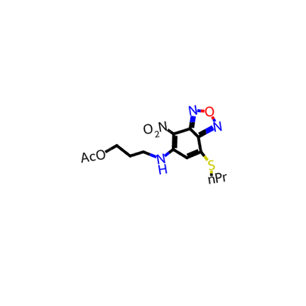 CCCSc1cc(NCCCOC(C)=O)c([N+](=O)[O-])c2nonc12